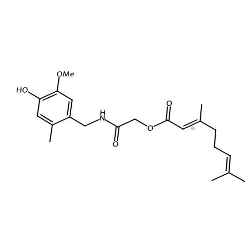 COc1cc(CNC(=O)COC(=O)/C=C(\C)CCC=C(C)C)c(C)cc1O